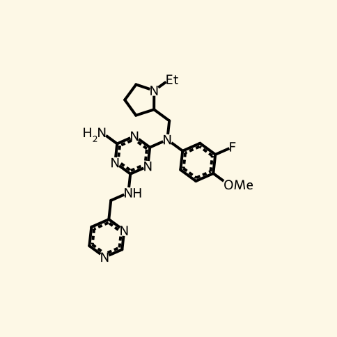 CCN1CCCC1CN(c1ccc(OC)c(F)c1)c1nc(N)nc(NCc2ccncn2)n1